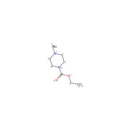 CC(C)(C)N1CCN(C(=O)OCC(Cl)(Cl)Cl)CC1